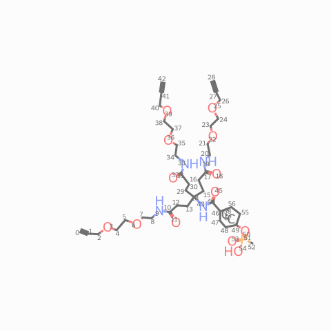 C#CCOCCOCCNC(=O)CCC(CCC(=O)NCCOCCOCC#C)(CCC(=O)NCCOCCOCC#C)NC(=O)C12CCC(OP(C)(=O)O)(CC1)CC2